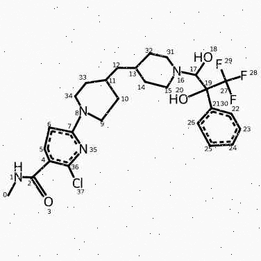 CNC(=O)c1ccc(N2CCC(CC3CCN(C(O)C(O)(c4ccccc4)C(F)(F)F)CC3)CC2)nc1Cl